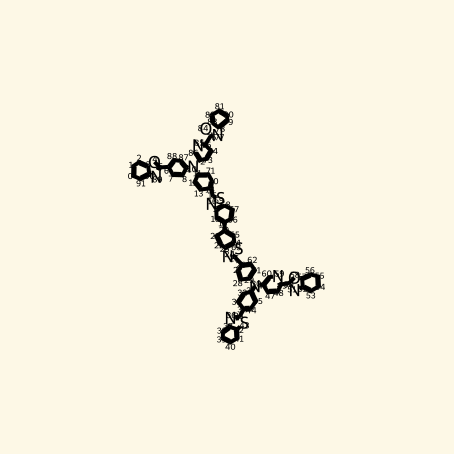 c1ccc2oc(-c3ccc(N(c4ccc(-c5nc6cc(-c7ccc8nc(-c9ccc(N(c%10ccc(-c%11nc%12ccccc%12s%11)cc%10)c%10ccc(-c%11nc%12ccccc%12o%11)nc%10)cc9)sc8c7)ccc6s5)cc4)c4ccc(-c5nc6ccccc6o5)nc4)cc3)nc2c1